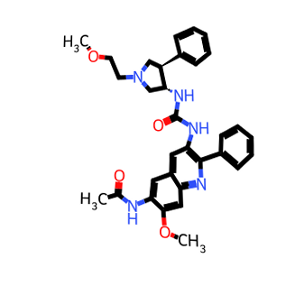 COCCN1C[C@@H](NC(=O)Nc2cc3cc(NC(C)=O)c(OC)cc3nc2-c2ccccc2)[C@H](c2ccccc2)C1